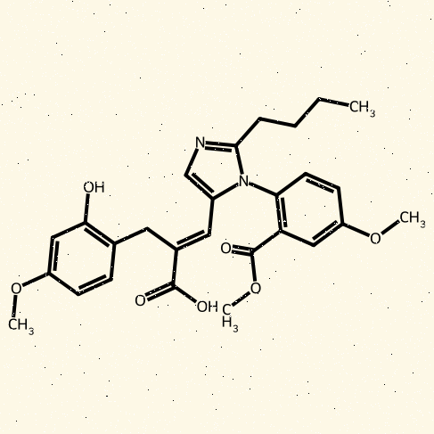 CCCCc1ncc(/C=C(\Cc2ccc(OC)cc2O)C(=O)O)n1-c1ccc(OC)cc1C(=O)OC